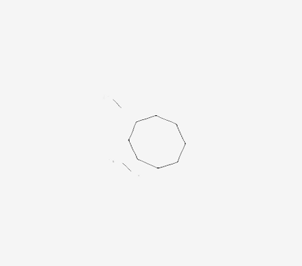 C1CCCCCCC1.CCCO.CCCO